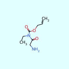 C=CCOC(=O)N(CC)C(=O)CN